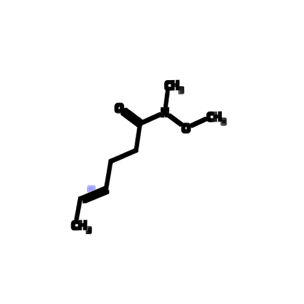 C/C=C/CCC(=O)N(C)OC